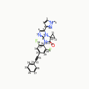 Cn1ccc(-c2cnc3n2C2(CC2)C(=O)N3c2c(F)cc(C#Cc3ccccc3)cc2F)n1